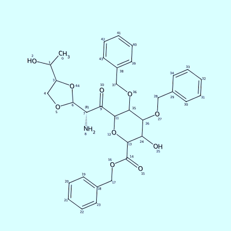 CC(O)C1COC([C@@H](N)C(=O)C2OC(C(=O)OCc3ccccc3)C(O)C(OCc3ccccc3)C2OCc2ccccc2)O1